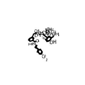 CC(C)(Cc1cccc(C(=O)NCCc2ccc(C(F)(F)F)cc2)c1)NC[C@@H](O[Si](C)(C)C(C)(C)C)c1ccc(O)c(CO)c1